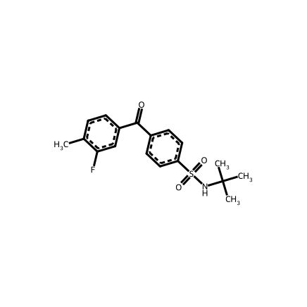 Cc1ccc(C(=O)c2ccc(S(=O)(=O)NC(C)(C)C)cc2)cc1F